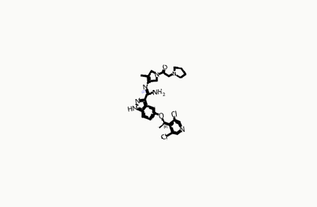 CC1=C(/N=C(\N)c2n[nH]c3ccc(O[C@H](C)c4c(Cl)cncc4Cl)cc23)CN(C(=O)CN2CCCC2)C1